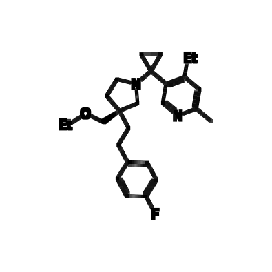 CCOC[C@@]1(CCc2ccc(F)cc2)CCN(C2(c3cnc(C)cc3CC)CC2)C1